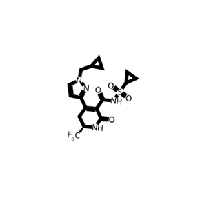 O=C1N[C@@H](C(F)(F)F)CC(c2ccn(CC3CC3)n2)=C1C(=O)NS(=O)(=O)C1CC1